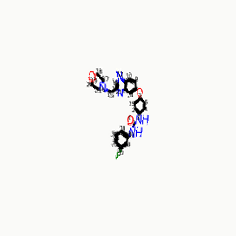 O=C(Nc1ccc(Oc2ccc3ncc(CN4CCOCC4)nc3c2)cc1)Nc1cccc(F)c1